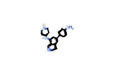 NC1=CCC(c2cc(NC3CCNCC3)c3cnccc3c2)C=C1